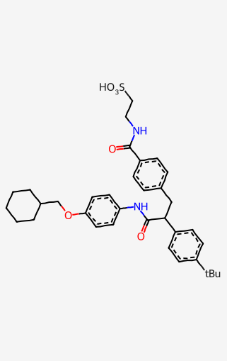 CC(C)(C)c1ccc(C(Cc2ccc(C(=O)NCCS(=O)(=O)O)cc2)C(=O)Nc2ccc(OCC3CCCCC3)cc2)cc1